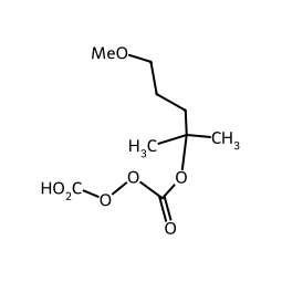 COCCCC(C)(C)OC(=O)OOC(=O)O